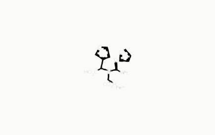 CCCC(=O)N(CC(=O)O)C(C(=O)O)c1cc[cH-]c1.[Fe+2].c1cc[cH-]c1